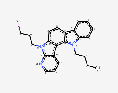 CCCCn1c2ccccc2c2ccc3c(c4cccnc4n3CCCI)c21